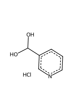 Cl.OC(O)c1cccnc1